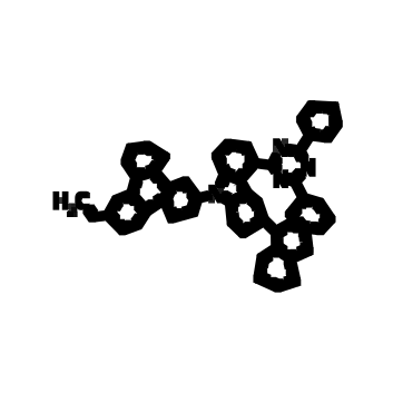 C=Cc1ccc2c3ccc(-n4c5ccc(-c6cccc7ccccc67)cc5c5c(-c6nc(-c7ccccc7)nc(-c7ccccc7)n6)cccc54)cc3c3ccccc3c2c1